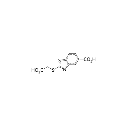 O=C(O)CSc1nc2cc(C(=O)O)ccc2s1